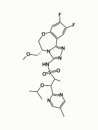 COC[C@@H]1COc2cc(F)c(F)cc2-c2nnc(NS(=O)(=O)C(C)C(OC(C)C)c3ncc(C)cn3)n21